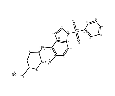 N#CCC1CCC(Nc2c([N+](=O)[O-])cnc3c2ccn3S(=O)(=O)c2ccccc2)CC1